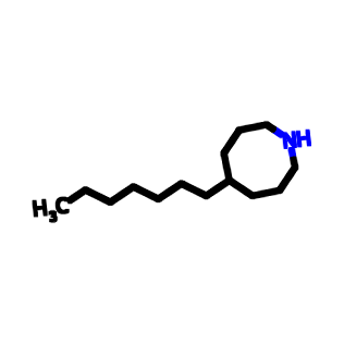 CCCCCCCC1CCCNCCC1